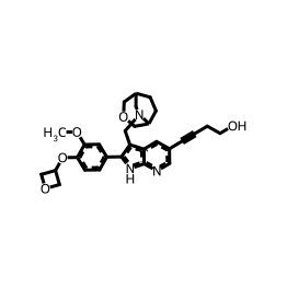 COc1cc(-c2[nH]c3ncc(C#CCCO)cc3c2CN2CC3CCC2COC3)ccc1OC1COC1